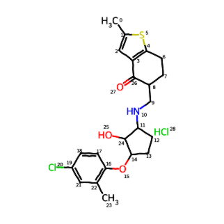 Cc1cc2c(s1)CCC(CNC1CCC(Oc3ccc(Cl)cc3C)C1O)C2=O.Cl